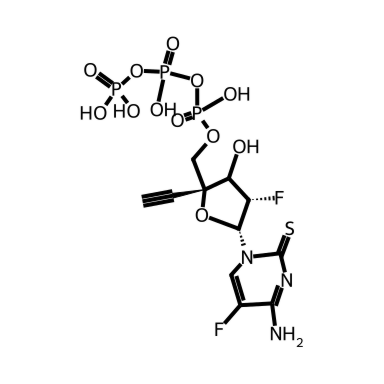 C#C[C@]1(COP(=O)(O)OP(=O)(O)OP(=O)(O)O)O[C@@H](n2cc(F)c(N)nc2=S)[C@@H](F)C1O